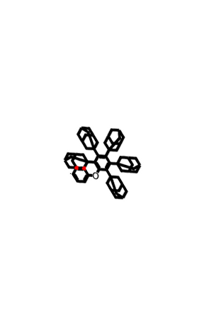 [c]1ccc(Oc2c(C34CC5CC(CC(C5)C3)C4)c(C34CC5CC(CC(C5)C3)C4)c(C34CC5CC(CC(C5)C3)C4)c(C34CC5CC(CC(C5)C3)C4)c2C23CC4CC(CC(C4)C2)C3)cc1